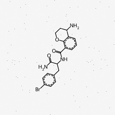 NC(=O)C(Cc1ccc(Br)cc1)NC(=O)c1cccc2c1OCCC2N